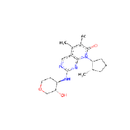 CC(=O)c1c(C)c2cnc(N[C@@H]3CCOC[C@H]3O)nc2n(C2CCC[C@@H]2C)c1=O